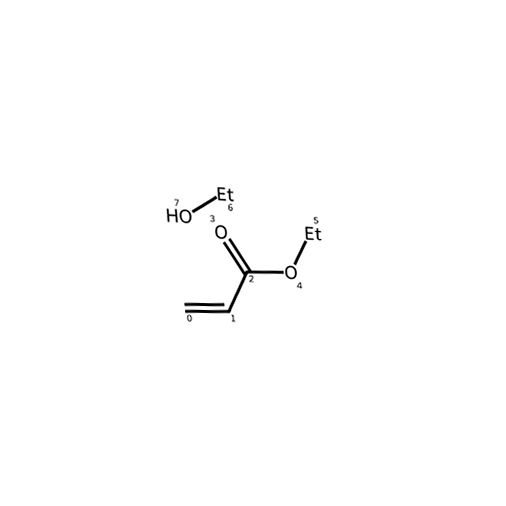 C=CC(=O)OCC.CCO